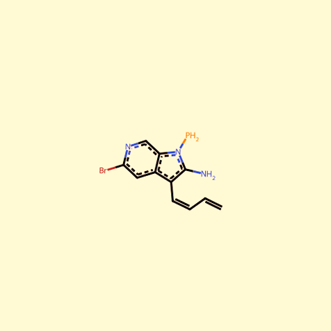 C=C/C=C\c1c(N)n(P)c2cnc(Br)cc12